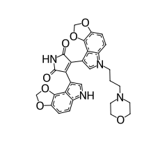 O=C1NC(=O)C(c2cn(CCCN3CCOCC3)c3ccc4c(c23)OCO4)=C1c1c[nH]c2ccc3c(c12)OCO3